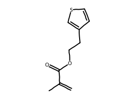 C=C(C)C(=O)OCCc1ccsc1